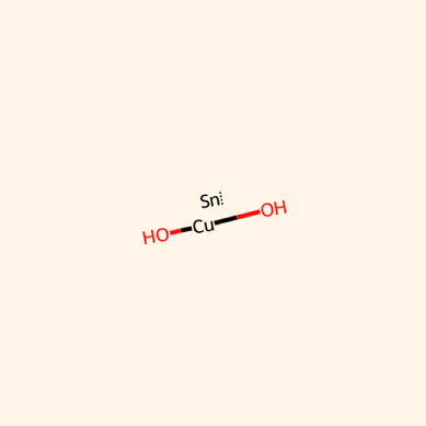 [OH][Cu][OH].[Sn]